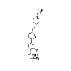 C=C(NC(C)(C)CC)c1ccc(-c2ccc(CCC3CCN(CC(C)(C)F)CC3)cc2)cc1F